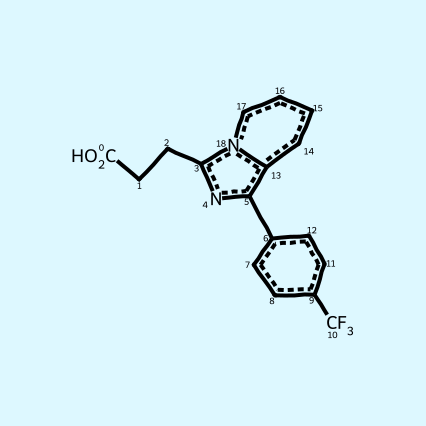 O=C(O)CCc1nc(-c2ccc(C(F)(F)F)cc2)c2ccccn12